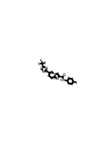 Cc1ccc(NC(=O)c2cn3cc(-c4noc(C(F)(F)F)n4)ccc3n2)cc1